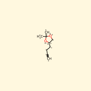 C#CCC[C@@H]1COC(C)(C)O1